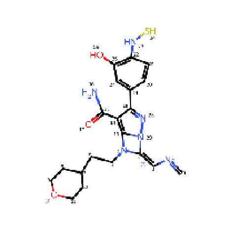 C=N/C=c1/n(CCC2CCOCC2)c2c(C(N)=O)c(-c3ccc(NS)c(O)c3)nn12